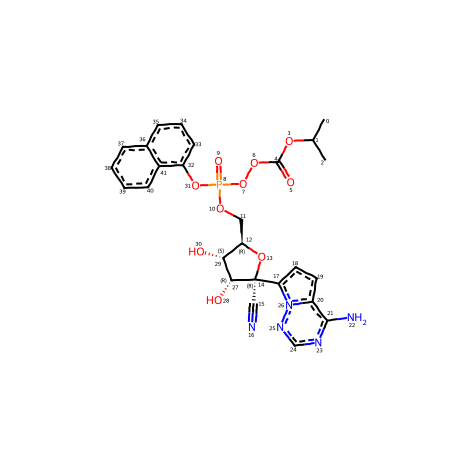 CC(C)OC(=O)OOP(=O)(OC[C@H]1O[C@@](C#N)(c2ccc3c(N)ncnn23)[C@H](O)[C@@H]1O)Oc1cccc2ccccc12